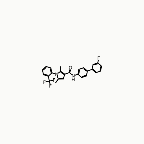 Cc1cc(C(=O)Nc2ccc(-c3cccc(F)c3)cc2)c(C)n1-c1ccccc1C(F)(F)F